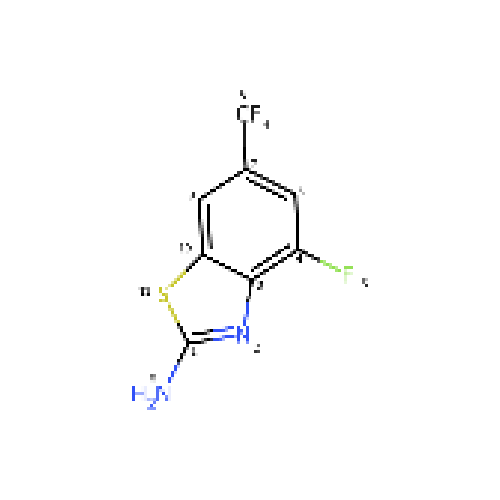 Nc1nc2c(F)cc(C(F)(F)F)cc2s1